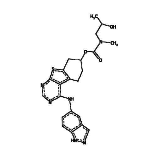 CC(O)CN(C)C(=O)OC1CCc2c(sc3ncnc(Nc4ccc5[nH]ncc5c4)c23)C1